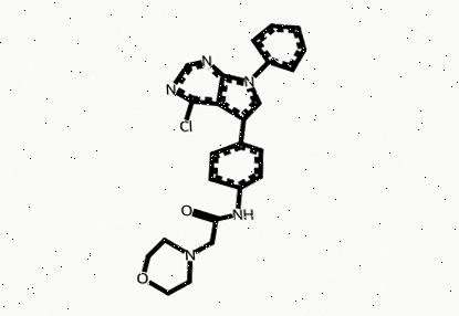 O=C(CN1CCOCC1)Nc1ccc(-c2cn(-c3ccccc3)c3ncnc(Cl)c23)cc1